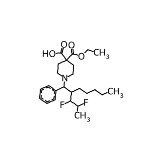 CCCCCC(C(F)C(C)F)C(c1ccccc1)N1CCC(C(=O)O)(C(=O)OCC)CC1